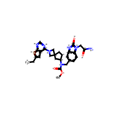 CC(C)(C)OC(=O)N(Cc1ccc2c(c1)[nH]c(=O)n2CC(N)=O)C1CCC2(C1)CN(c1ncnc3sc(CC(F)(F)F)cc13)C2